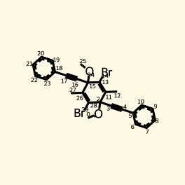 COC1(C#Cc2ccccc2)C(C)=C(Br)C(C#Cc2ccccc2)(OC)C(C)=C1Br